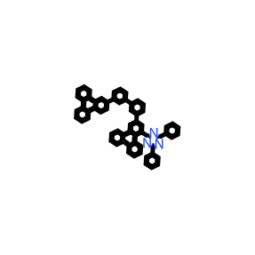 c1ccc(-c2nc(-c3ccccc3)nc(-c3cc(-c4cccc(-c5cccc(-c6ccc7c8ccccc8c8ccccc8c7c6)c5)c4)cc4c5ccccc5c5ccccc5c34)n2)cc1